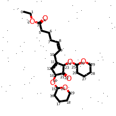 CCOC(=O)CCC/C=C\CC1=CC(OC2CCCCO2)C(=O)C1OC1CCCCO1